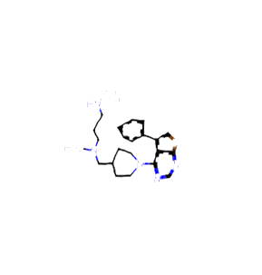 CNCCCN(C)CC1CCN(c2ncnc3scc(-c4ccccc4)c23)CC1